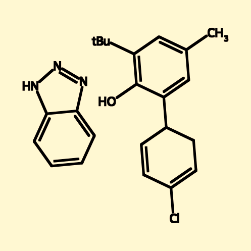 Cc1cc(C2C=CC(Cl)=CC2)c(O)c(C(C)(C)C)c1.c1ccc2[nH]nnc2c1